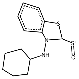 O=[S+]C1Sc2ccccc2N1NC1CCCCC1